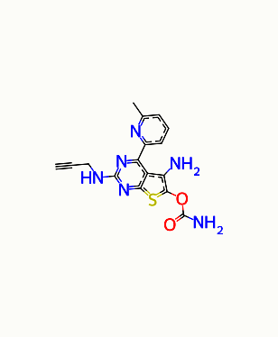 C#CCNc1nc(-c2cccc(C)n2)c2c(N)c(OC(N)=O)sc2n1